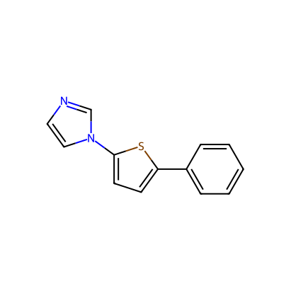 c1ccc(-c2ccc(-n3ccnc3)s2)cc1